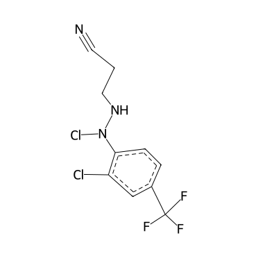 N#CCCNN(Cl)c1ccc(C(F)(F)F)cc1Cl